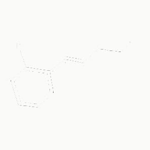 CCCC=Cc1ccccc1Br